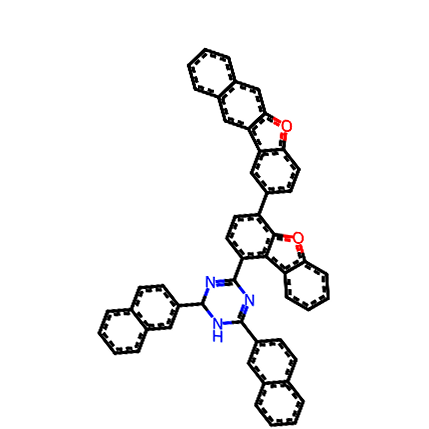 c1ccc2cc(C3=NC(c4ccc(-c5ccc6oc7cc8ccccc8cc7c6c5)c5oc6ccccc6c45)=NC(c4ccc5ccccc5c4)N3)ccc2c1